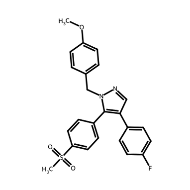 COc1ccc(Cn2ncc(-c3ccc(F)cc3)c2-c2ccc(S(C)(=O)=O)cc2)cc1